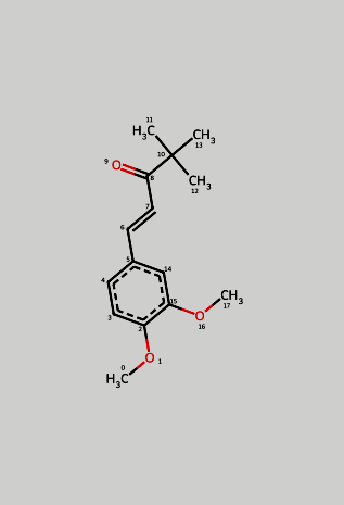 COc1ccc(C=CC(=O)C(C)(C)C)cc1OC